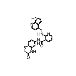 O=C1CSc2ccc(NC(=O)c3cccnc3NCc3ccnc4[nH]ccc34)cc2N1